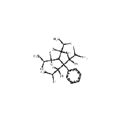 [SiH3]C(Cl)C(Cl)(Cl)C(C(Cl)(Cl)C([SiH3])Cl)C(c1ccccc1)(C(Cl)(Cl)C([SiH3])Cl)C(Cl)(Cl)C([SiH3])Cl